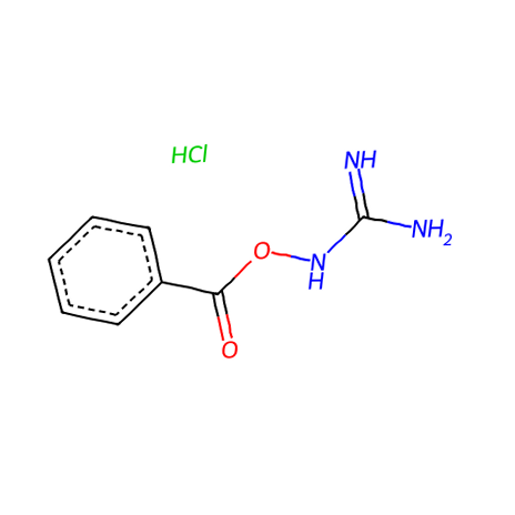 Cl.N=C(N)NOC(=O)c1ccccc1